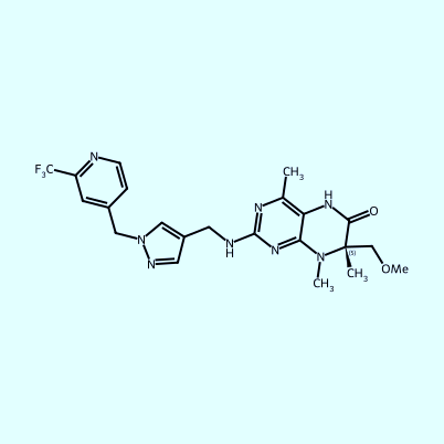 COC[C@@]1(C)C(=O)Nc2c(C)nc(NCc3cnn(Cc4ccnc(C(F)(F)F)c4)c3)nc2N1C